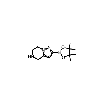 CC1(C)OB(c2cc3n(n2)CCNC3)OC1(C)C